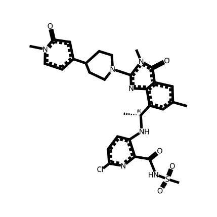 Cc1cc([C@@H](C)Nc2ccc(Cl)nc2C(=O)NS(C)(=O)=O)c2nc(N3CCC(c4ccn(C)c(=O)c4)CC3)n(C)c(=O)c2c1